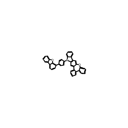 c1ccc2c(c1)Oc1cc3c4ccccc4n(-c4ccc(-c5cccc6c5oc5ccccc56)cc4)c3cc1-c1ccccc1-2